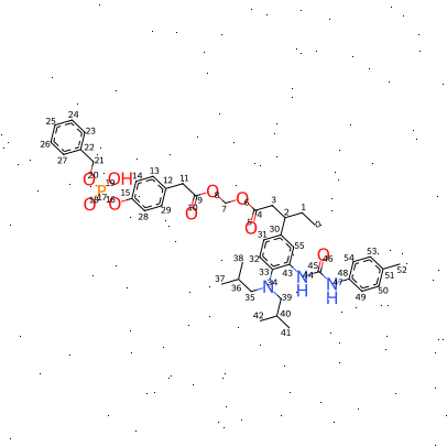 CCC(CC(=O)OCOC(=O)Cc1ccc(OP(=O)(O)OCc2ccccc2)cc1)c1ccc(N(CC(C)C)CC(C)C)c(NC(=O)Nc2ccc(C)cc2)c1